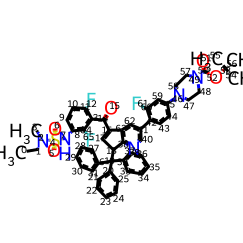 CCN(C)S(=O)(=O)Nc1ccc(F)c(C(=O)C2=CC(C(c3ccccc3)(c3ccccc3)c3ccccc3)c3ncc(-c4ccc(N5CCN(C(=O)OC(C)(C)C)CC5)cc4F)cc32)c1F